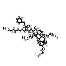 C=CCO[C@@H]1CC[C@@]2(C)[C@@H](C1)C[C@@H](OCC=C)C1[C@@H]2C[C@H](OCC=C)[C@]2(C)[C@@H](C(C)CCCN(CCCCCCCC)C(=O)OCc3ccccc3)CC[C@@H]12